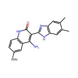 CNc1ccc2[nH]c(=O)c(-c3nc4cc(C)c(C)cc4[nH]3)c(N)c2c1